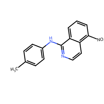 Cc1ccc(Nc2nccc3c([N+](=O)[O-])cccc23)cc1